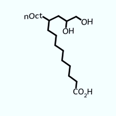 CCCCCCCCC(CCCCCCCCC(=O)O)CC(O)CO